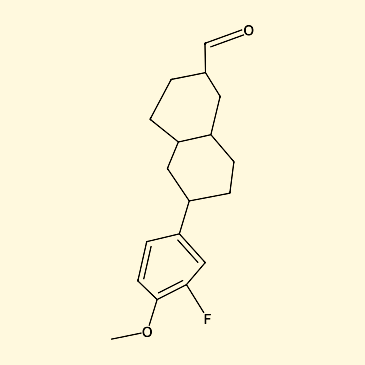 COc1ccc(C2CCC3CC(C=O)CCC3C2)cc1F